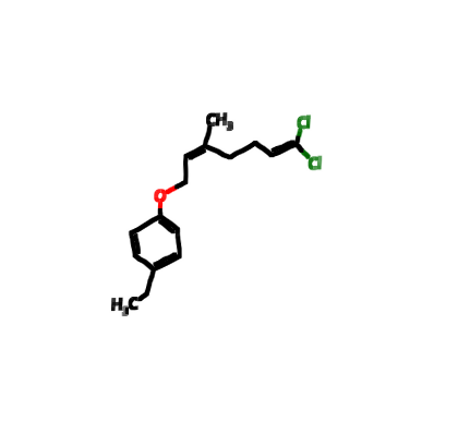 CCc1ccc(OCC=C(C)CCC=C(Cl)Cl)cc1